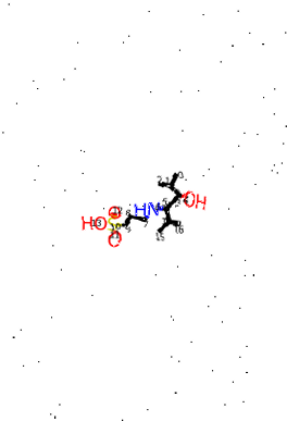 CC(C)C(O)C(NCCCS(=O)(=O)O)C(C)C